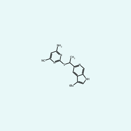 CC(Sc1nc(N)cc(C#N)n1)c1cc2c(C(C)(C)C)c[nH]c2cn1